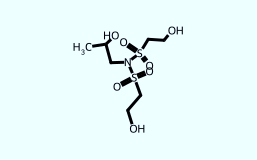 CC(O)CN(S(=O)(=O)CCO)S(=O)(=O)CCO